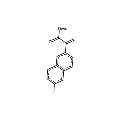 C=C(C(=O)OC)c1ccc2cc(F)ccc2c1